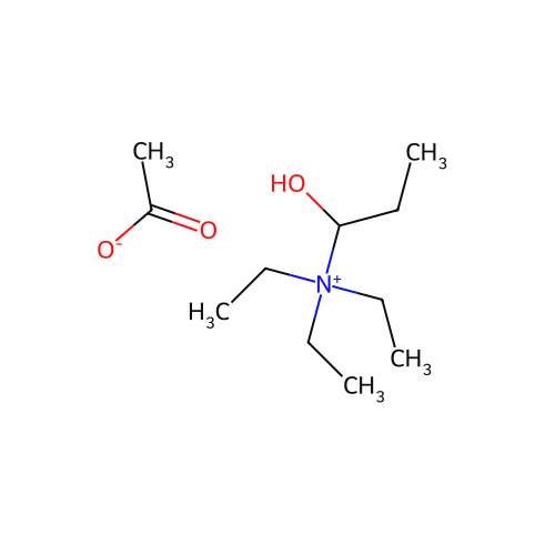 CC(=O)[O-].CCC(O)[N+](CC)(CC)CC